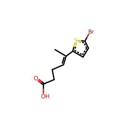 CC(=CCCC(=O)O)c1ccc(Br)s1